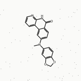 CN(c1ccc2c(c1)OCO2)c1ccc2c(=O)[nH]c3ncccc3c2c1